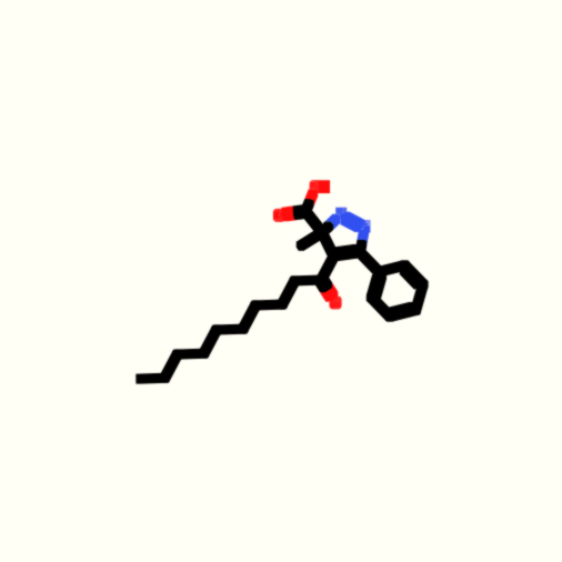 CCCCCCCCCC(=O)C1=C(c2ccccc2)N=NC1(C)C(=O)O